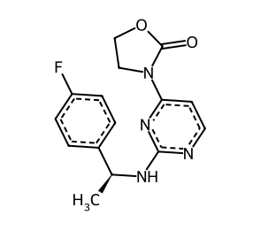 C[C@H](Nc1nccc(N2CCOC2=O)n1)c1ccc(F)cc1